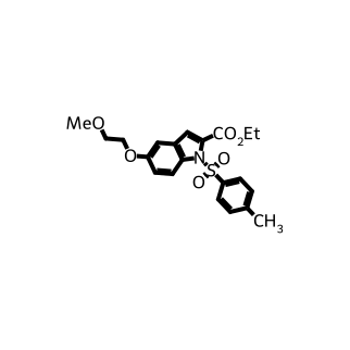 CCOC(=O)c1cc2cc(OCCOC)ccc2n1S(=O)(=O)c1ccc(C)cc1